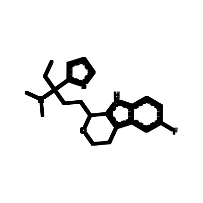 CCC(CCC1OCCc2c1[nH]c1ccc(F)cc21)(c1cccs1)N(C)C